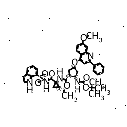 C=C[C@@H]1C[C@]1(NC(=O)[C@@H]1C[C@@H](Oc2cc(-c3ccccc3)nc3cc(OC)ccc23)C[C@@H]1NC(=O)OC(C)(C)C)C(=O)NS(=O)(=O)c1cccc2cc[nH]c12